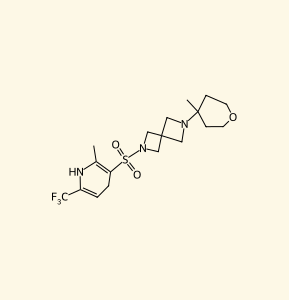 CC1=C(S(=O)(=O)N2CC3(CN(C4(C)CCOCC4)C3)C2)CC=C(C(F)(F)F)N1